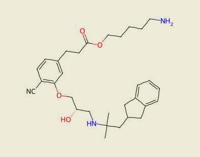 CC(C)(CC1Cc2ccccc2C1)NC[C@H](O)COc1cc(CCC(=O)OCCCCCN)ccc1C#N